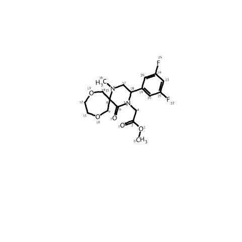 COC(=O)CN1C(=O)C2(COCCOC2)N(C)CC1c1cc(F)cc(F)c1